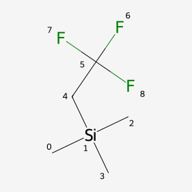 C[Si](C)(C)CC(F)(F)F